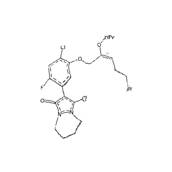 CCCO/C(=C/CCC(C)C)COc1cc(-c2c(Cl)n3n(c2=O)CCCC3)c(F)cc1Cl